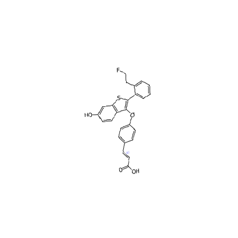 O=C(O)/C=C/c1ccc(Oc2c(-c3ccccc3CCF)sc3cc(O)ccc23)cc1